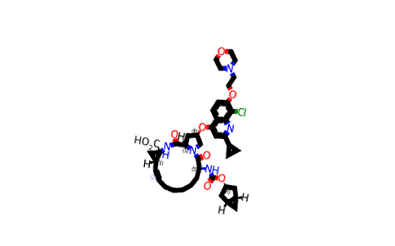 O=C(N[C@H]1CCCCC/C=C\[C@@H]2C[C@@]2(C(=O)O)NC(=O)[C@@H]2C[C@@H](Oc3cc(C4CC4)nc4c(Cl)c(OCCN5CCOCC5)ccc34)CN2C1=O)O[C@@H]1C[C@@H]2C[C@@H]2C1